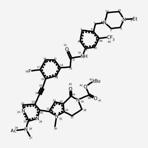 CCN1CCN(Cc2ccc(NC(=O)Cc3ccc(F)c(C#Cc4cnc(N(C)C(C)=O)nc4-c4cc5c(n4C)CCN(C(=O)OC(C)(C)C)C5=O)c3)cc2C(F)(F)F)CC1